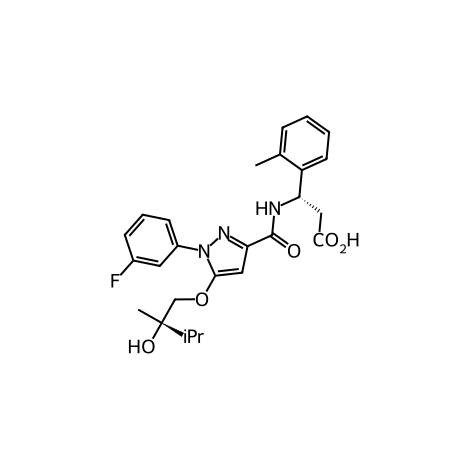 Cc1ccccc1[C@H](CC(=O)O)NC(=O)c1cc(OC[C@@](C)(O)C(C)C)n(-c2cccc(F)c2)n1